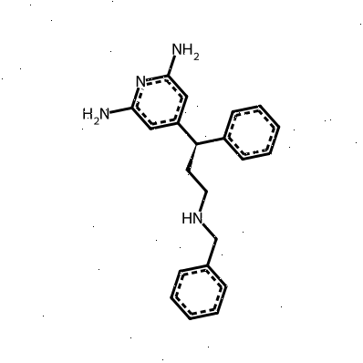 Nc1cc([C@H](CCNCc2ccccc2)c2ccccc2)cc(N)n1